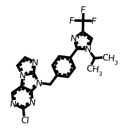 CC(C)n1cc(C(F)(F)F)nc1-c1ccc(Cn2c3nc(Cl)ncc3n3ccnc23)cc1